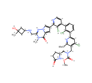 COc1nc(-c2cccc(-c3ccnc(-c4cc5c(=O)n(C)c(CNC6CC(C)(O)C6)nn5c4)c3Cl)c2Cl)cc(Cl)c1CN(C[C@@H]1CCC(=O)N1)C(=O)OC(C)(C)C